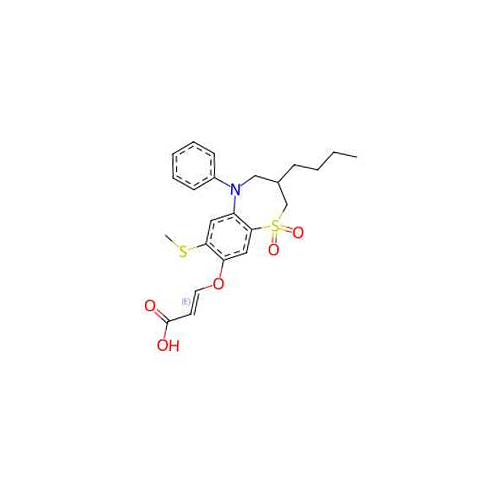 CCCCC1CN(c2ccccc2)c2cc(SC)c(O/C=C/C(=O)O)cc2S(=O)(=O)C1